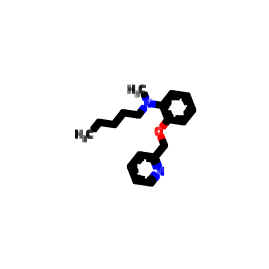 CCCCCN(C)c1ccccc1OCc1ccccn1